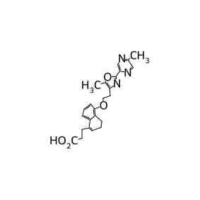 Cc1cnc(-c2nc(CCOc3cccc4c3CCC=C4CCC(=O)O)c(C)o2)cn1